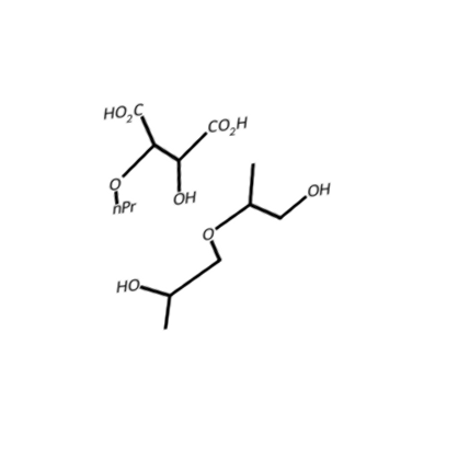 CC(O)COC(C)CO.CCCOC(C(=O)O)C(O)C(=O)O